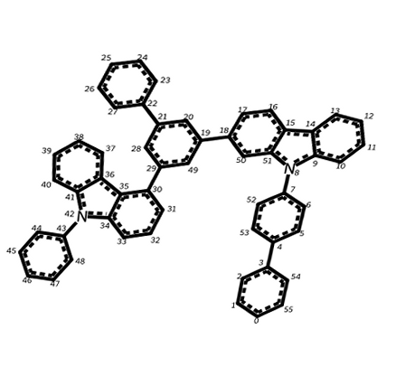 c1ccc(-c2ccc(-n3c4ccccc4c4ccc(-c5cc(-c6ccccc6)cc(-c6cccc7c6c6ccccc6n7-c6ccccc6)c5)cc43)cc2)cc1